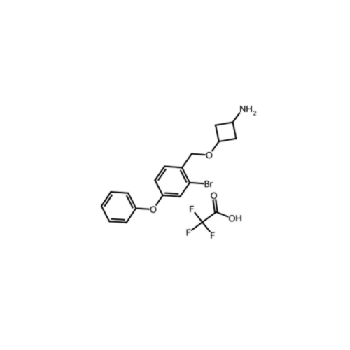 NC1CC(OCc2ccc(Oc3ccccc3)cc2Br)C1.O=C(O)C(F)(F)F